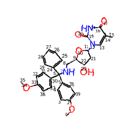 COc1ccc(C(NC[C@H]2O[C@@H](n3cc(C)c(=O)[nH]c3=O)C[C@@H]2O)(c2ccccc2)c2ccc(OC)cc2)cc1